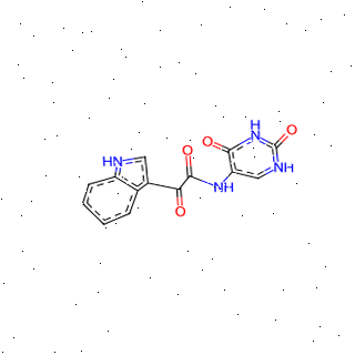 O=C(Nc1c[nH]c(=O)[nH]c1=O)C(=O)c1c[nH]c2ccccc12